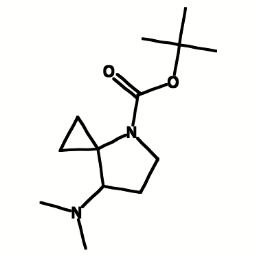 CN(C)C1CCN(C(=O)OC(C)(C)C)C12CC2